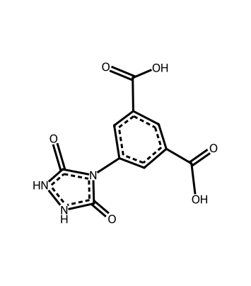 O=C(O)c1cc(C(=O)O)cc(-n2c(=O)[nH][nH]c2=O)c1